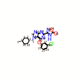 C[C@H]1CC[C@H](Cn2cnc3nc(-c4noc(=O)[nH]4)nc(Oc4cccc(Cl)c4)c32)CC1